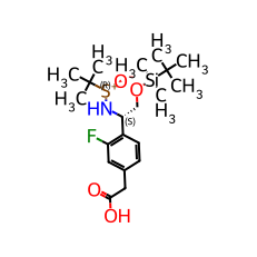 CC(C)(C)[S@+]([O-])N[C@H](CO[Si](C)(C)C(C)(C)C)c1ccc(CC(=O)O)cc1F